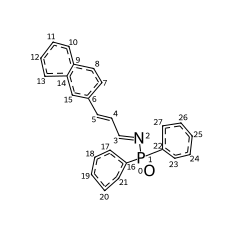 O=P(/N=C/C=C/c1ccc2ccccc2c1)(c1ccccc1)c1ccccc1